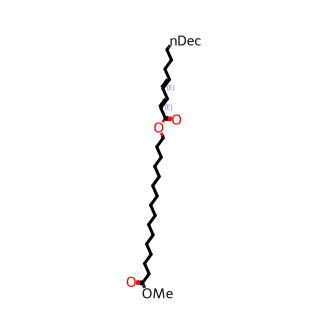 CCCCCCCCCCCCC/C=C/C=C/C(=O)OCCCCCCCCCCCCCCCC(=O)OC